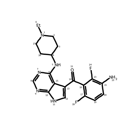 CCN1CCC(Nc2ncnc3[nH]cc(C(=O)c4c(F)ccc(N)c4F)c23)CC1